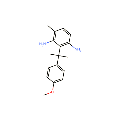 COc1ccc(C(C)(C)c2c(N)ccc(C)c2N)cc1